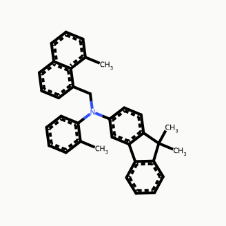 Cc1ccccc1N(Cc1cccc2cccc(C)c12)c1ccc2c(c1)-c1ccccc1C2(C)C